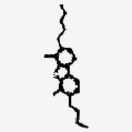 CCCCCc1ccc2c(sc3c(C)c(CCCC)ccc32)c1C